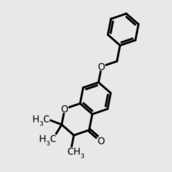 CC1C(=O)c2ccc(OCc3ccccc3)cc2OC1(C)C